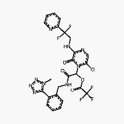 Cn1nnnc1-c1ccccc1CNC(=O)C(OC(=O)C(F)(F)F)n1c(Cl)cnc(NCC(F)(F)c2ccccn2)c1=O